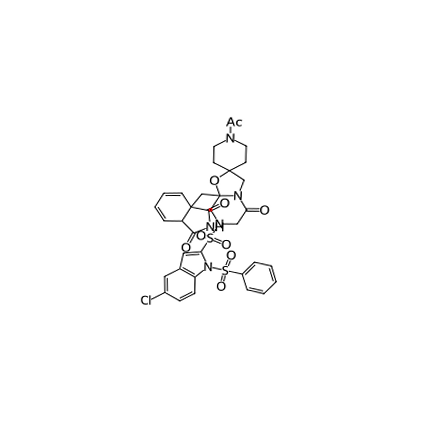 CC(=O)N1CCC2(CC1)CN1C(=O)CN(S(=O)(=O)c3cc4cc(Cl)ccc4n3S(=O)(=O)c3ccccc3)CC1(CC13C=CC=CC1C(=O)NC3=O)O2